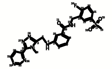 Cn1c(CNc2cccc(C(=O)NCc3cc(S(C)(=O)=O)ccc3F)c2)nnc1-c1ccncn1